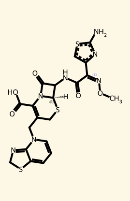 CO/N=C(\C(=O)NC1C(=O)N2C(C(=O)O)=C(CN3C=CC=C4SCN=C43)CS[C@H]12)c1csc(N)n1